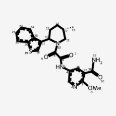 COc1ncc(NC(=O)C(=O)N2C[C@@H](C)CCC2c2csc3ccccc23)cc1C(N)=O